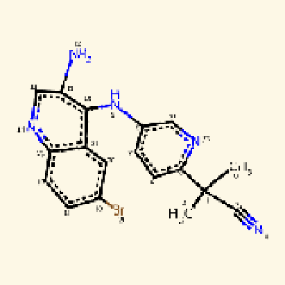 CC(C)(C#N)c1ccc(Nc2c(N)cnc3ccc(Br)cc23)cn1